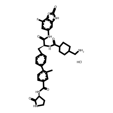 Cc1cc(C(=O)N[C@H]2CCNC2=O)ccc1-c1ccc(C[C@H](NC(=O)C2CCC(CN)CC2)C(=O)Nc2cc(F)c3oc(=O)[nH]c3c2)cc1.Cl